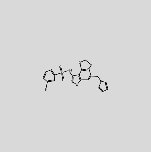 O=S(=O)(Nc1noc2cc(Cn3cccn3)c3c(c12)OCC3)c1cccc(Br)c1